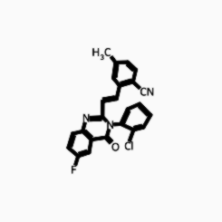 Cc1ccc(C#N)c(C=Cc2nc3ccc(F)cc3c(=O)n2-c2ccccc2Cl)c1